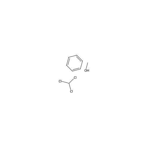 CO.ClC(Cl)Cl.c1ccccc1